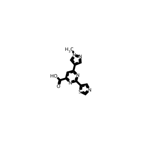 Cn1cc(-c2cc(C(=O)O)nc(-c3cncs3)n2)cn1